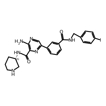 Nc1ncc(-c2cccc(C(=O)NCc3ccc(I)cc3)c2)nc1C(=O)N[C@H]1CCCNC1